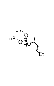 CCC=CC(C)O[SiH](OCCC)OCCC